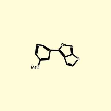 COc1cccc(-c2onc3sccc23)c1